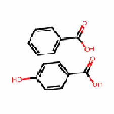 O=C(O)c1ccc(O)cc1.O=C(O)c1ccccc1